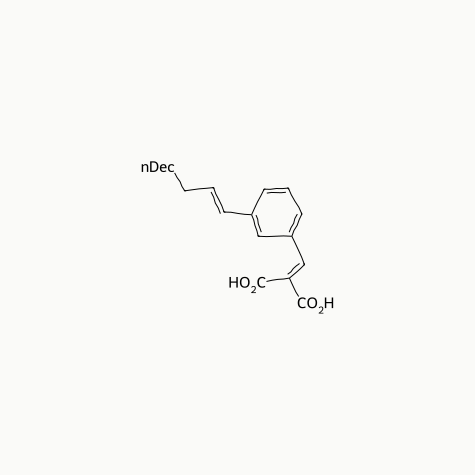 CCCCCCCCCCCC=Cc1cccc(C=C(C(=O)O)C(=O)O)c1